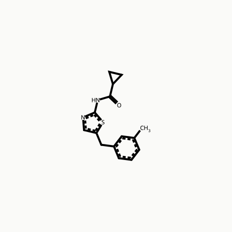 Cc1cccc(Cc2cnc(NC(=O)C3CC3)s2)c1